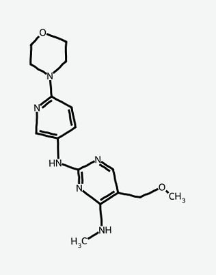 CNc1nc(Nc2ccc(N3CCOCC3)nc2)ncc1COC